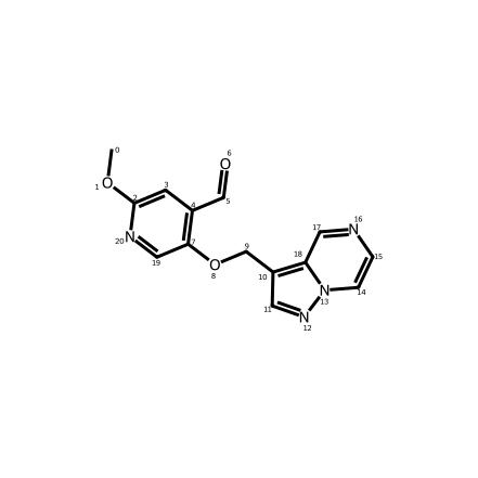 COc1cc(C=O)c(OCc2cnn3ccncc23)cn1